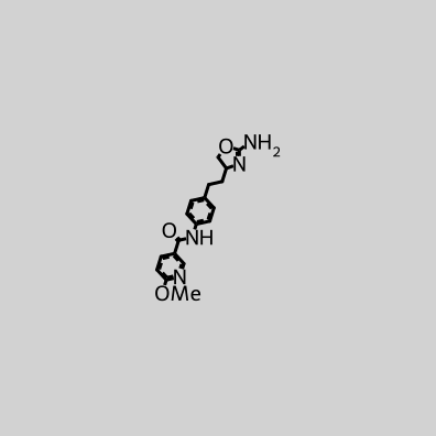 COc1ccc(C(=O)Nc2ccc(CCC3COC(N)=N3)cc2)cn1